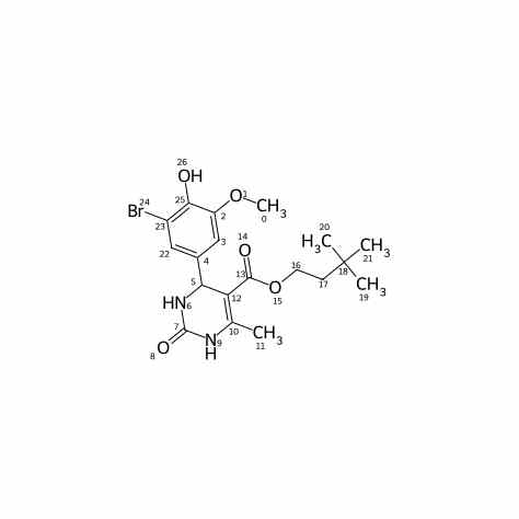 COc1cc(C2NC(=O)NC(C)=C2C(=O)OCCC(C)(C)C)cc(Br)c1O